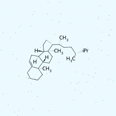 CC(C)[C@H](C)CC[C@@H](C)[C@H]1CC[C@H]2[C@@H]3CC=C4C[CH]CC[C@]4(C)[C@H]3CC[C@]12C